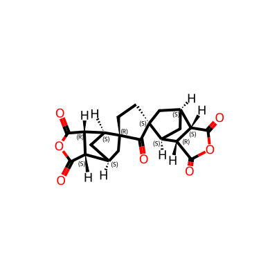 O=C1OC(=O)[C@H]2[C@@H]1[C@H]1C[C@@H]2[C@@]2(CC[C@@]3(C[C@@H]4C[C@H]3[C@H]3C(=O)OC(=O)[C@@H]43)C2=O)C1